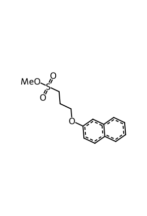 COS(=O)(=O)CCCOc1ccc2ccccc2c1